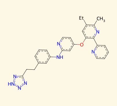 CCc1cc(Oc2ccnc(Nc3cccc(CCc4nn[nH]n4)c3)c2)c(-c2ccccn2)nc1C